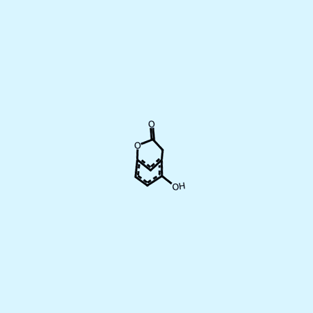 O=C1Cc2cc(ccc2O)O1